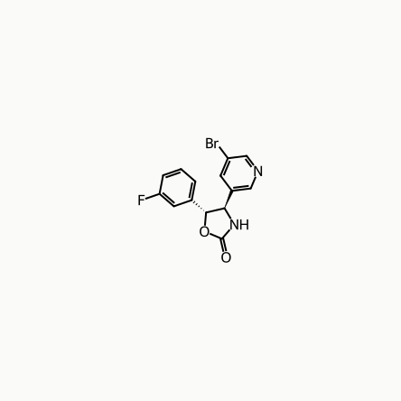 O=C1N[C@H](c2cncc(Br)c2)[C@@H](c2cccc(F)c2)O1